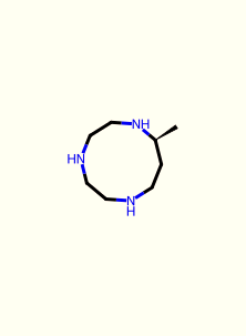 C[C@H]1CCNCCNCCN1